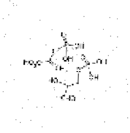 C=C(OP(=O)(O)O)C(=O)O.O=CC(O)COP(=O)(O)O